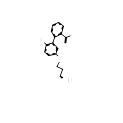 C=CCCOc1ccc(F)c(-c2ccccc2C(=O)O)c1